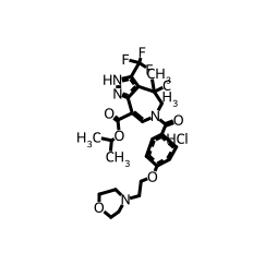 CC(C)OC(=O)C1=CN(C(=O)c2ccc(OCCN3CCOCC3)cc2)CC(C)(C)c2c1n[nH]c2C(F)(F)F.Cl